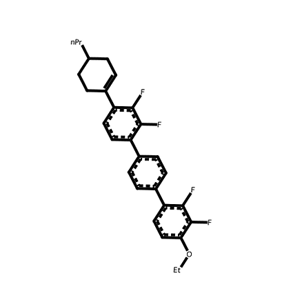 CCCC1CC=C(c2ccc(-c3ccc(-c4ccc(OCC)c(F)c4F)cc3)c(F)c2F)CC1